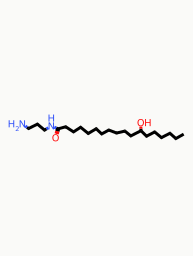 CCCCCCC(O)CCCCCCCCCCC(=O)NCCCN